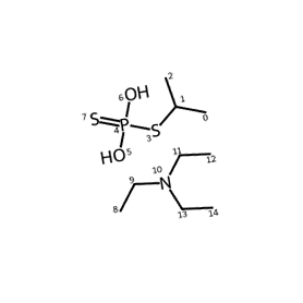 CC(C)SP(O)(O)=S.CCN(CC)CC